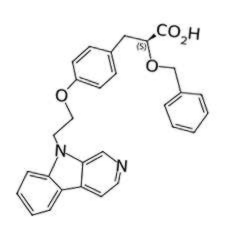 O=C(O)[C@H](Cc1ccc(OCCn2c3ccccc3c3ccncc32)cc1)OCc1ccccc1